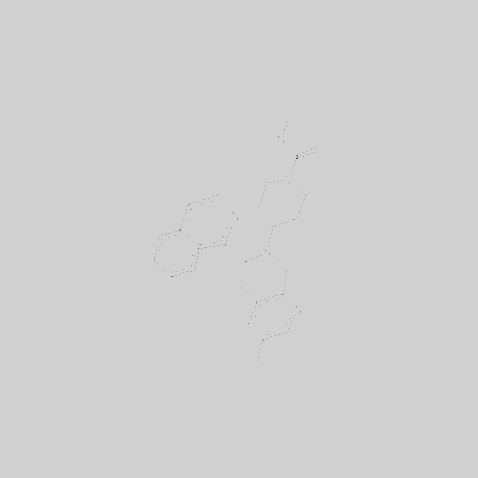 Cc1cc(Cl)cnc1CN(Cc1nccc2ccccc12)C1CCN(C(=O)NO)CC1